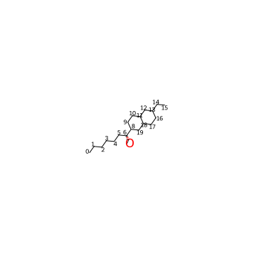 CCCCCCC(=O)C1CCC2CC(CC)CCC2C1